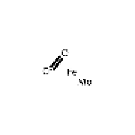 [Fe].[Mo].[O]=[Cr]